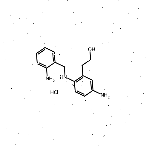 Cl.Nc1ccc(NCc2ccccc2N)c(CCO)c1